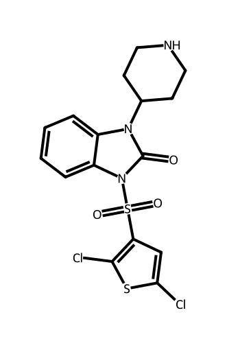 O=c1n(C2CCNCC2)c2ccccc2n1S(=O)(=O)c1cc(Cl)sc1Cl